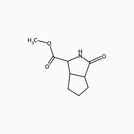 COC(=O)C1NC(=O)C2CCCC21